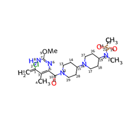 C=C(Cl)/C(C)=C(\N=C(/N)OC)C(=O)N1CCC(N2CCC(N(C)S(C)(=O)=O)CC2)CC1